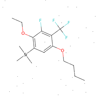 CCCCOc1cc([Si](C)(C)C)c(OCC)c(F)c1C(F)(F)F